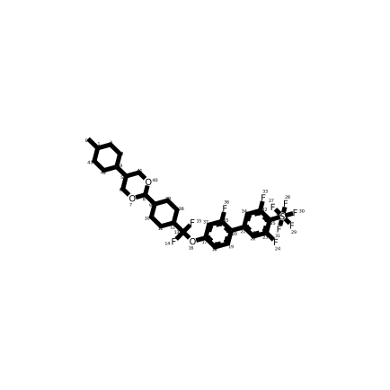 CC1CCC(C2COC(C3CCC(C(F)(F)Oc4ccc(-c5cc(F)c(S(F)(F)(F)(F)F)c(F)c5)c(F)c4)CC3)OC2)CC1